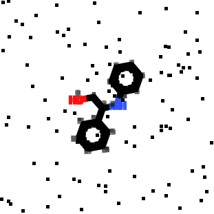 OCC(Nc1ccccc1)c1ccccc1